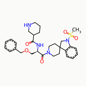 CS(=O)(=O)N1CC2(CCN(C(=O)[C@@H](COCc3ccccc3)NC(=O)C3CCCNC3)CC2)c2ccccc21